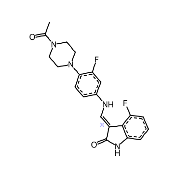 CC(=O)N1CCN(c2ccc(N/C=C3/C(=O)Nc4cccc(F)c43)cc2F)CC1